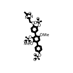 COc1cc(-c2ccc(OS(C)(=O)=O)cc2)c(OC)c(OS(C)(=O)=O)c1-c1ccc(OCc2noc(C)n2)c(OS(C)(=O)=O)c1